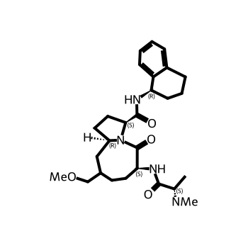 CN[C@@H](C)C(=O)N[C@H]1CCC(COC)C[C@H]2CC[C@@H](C(=O)N[C@@H]3CCCc4ccccc43)N2C1=O